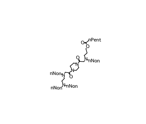 CCCCCCCCCN(CCCCCCCCC)CCN(CCCCCCCCC)CC(=O)N1CCN(C(=O)CN(CCCCCCCCC)CCCOC(=O)CCCCC)CC1